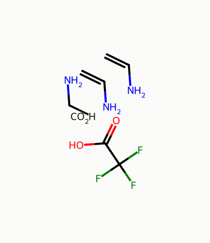 C=CN.C=CN.NCC(=O)O.O=C(O)C(F)(F)F